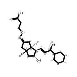 O=C(O)CCON=C1C[C@H]2C[C@@H](O)[C@H](C=CC(O)C3CCCCC3)[C@@H]2C1